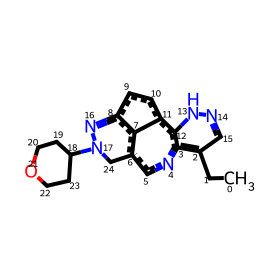 CCC1=c2ncc3c4c(ccc-4c2NN=C1)=NN(C1CCOCC1)C3